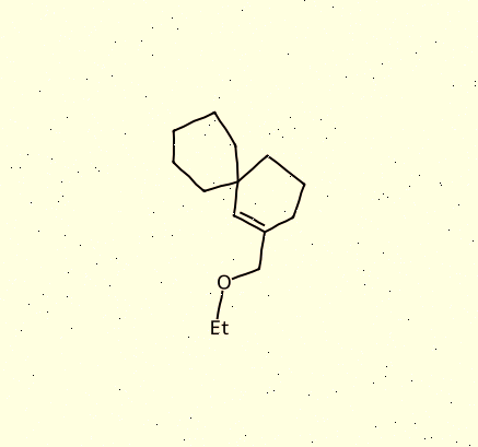 CCOCC1=CC2(CCCCC2)CCC1